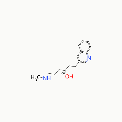 CNCCC[C@@H](O)CCc1cnc2ccccc2c1